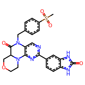 CS(=O)(=O)c1ccc(CN2C(=O)C3COCCN3c3nc(-c4ccc5[nH]c(=O)[nH]c5c4)ncc32)cc1